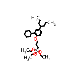 CCCC(CCC)c1ccc(OCCC[Si](OCC)(OCC)OCC)c(C2CCCCC2)c1